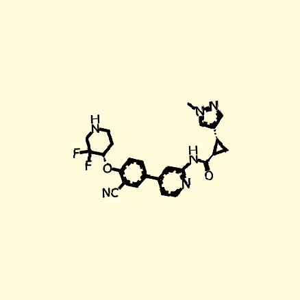 Cn1cc([C@@H]2C[C@H]2C(=O)Nc2cc(-c3ccc(O[C@H]4CCNCC4(F)F)c(C#N)c3)ccn2)cn1